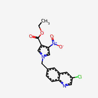 CCOC(=O)c1cn(Cc2ccc3ncc(Cl)cc3c2)cc1[N+](=O)[O-]